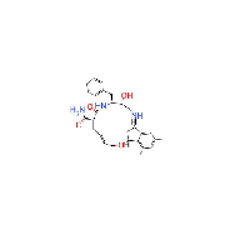 Cc1cc(C)c2c(c1)[C@@H]1C[C@H]2OC/C=C/C[C@@H](C(N)=O)C(=O)N[C@@H](Cc2ccccc2)[C@H](O)CN1